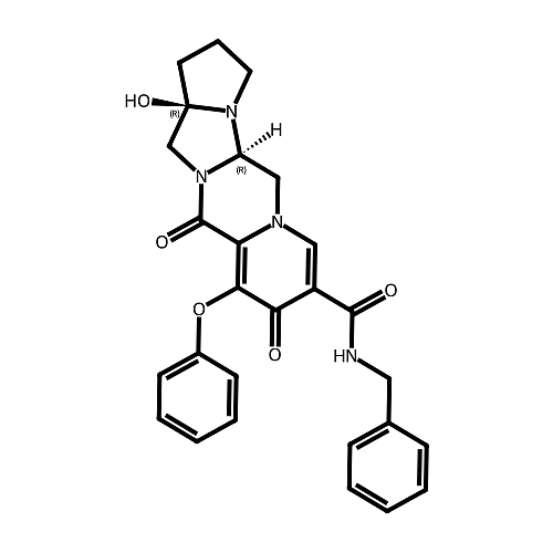 O=C(NCc1ccccc1)c1cn2c(c(Oc3ccccc3)c1=O)C(=O)N1C[C@]3(O)CCCN3[C@H]1C2